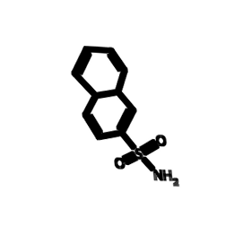 NS(=O)(=O)C1=CC2C=CC=CC2C=C1